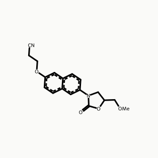 COCC1CN(c2ccc3cc(OCCC#N)ccc3c2)C(=O)O1